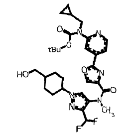 CN(C(=O)c1coc(-c2ccnc(N(CC3CC3)C(=O)OC(C)(C)C)c2)n1)c1cn(C2CCC(CO)CC2)nc1C(F)F